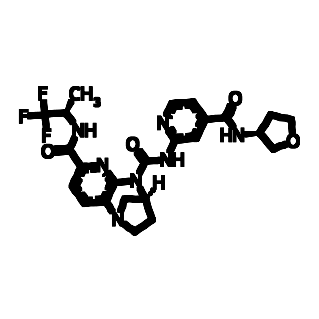 C[C@@H](NC(=O)c1ccc2c(n1)N(C(=O)Nc1cc(C(=O)N[C@H]3CCOC3)ccn1)[C@H]1CCN2C1)C(F)(F)F